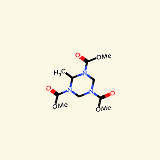 COC(=O)N1CN(C(=O)OC)C(C)N(C(=O)OC)C1